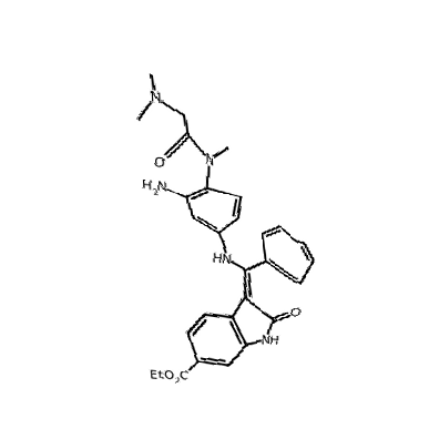 CCOC(=O)c1ccc2c(c1)NC(=O)C2=C(Nc1ccc(N(C)C(=O)CN(C)C)c(N)c1)c1ccccc1